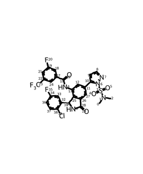 CN(C)S(=O)(=O)n1nccc1-c1cc(NC(=O)c2cc(F)cc(C(F)(F)F)c2)c2c(c1)C(=O)N[C@H]2c1cc(F)ccc1Cl